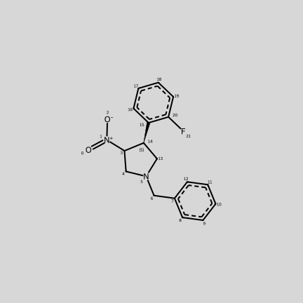 O=[N+]([O-])C1CN(Cc2ccccc2)C[C@@H]1c1ccccc1F